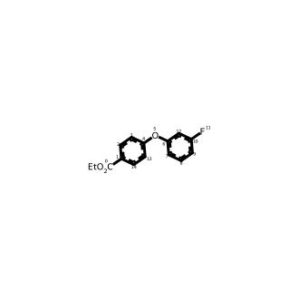 CCOC(=O)c1ccc(Oc2cccc(F)c2)cc1